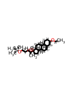 C=C(CCCO[Si](C)(C)C)[C@]1(O)CC[C@H]2[C@@H]3CC=C4C=C(OCC)CC[C@@H]4[C@H]3CC[C@@]21CC